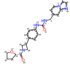 O=C(NCc1ccn2ccnc2c1)Nc1ccc(C2CN(C(=O)[C@@H]3CCCO3)C2)cc1